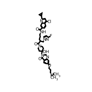 CN(C)CCCOc1ccc2c(=O)n(CC3(O)CCN(C(=O)C(CCCNC(=O)c4ccc5c(Cl)cc(C6CC6)nc5c4)Cn4ccc(F)n4)CC3)cnc2c1